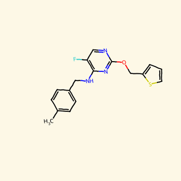 Cc1ccc(CNc2nc(OCc3cccs3)ncc2F)cc1